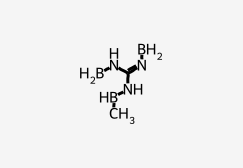 B/N=C(\NB)NBC